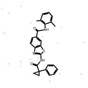 Cc1cccc(C)c1NC(=O)c1ccc2nc(NC(=O)C3(c4ccccc4)CC3)sc2c1